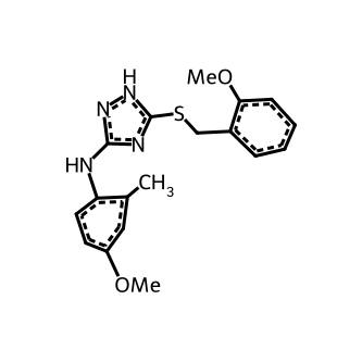 COc1ccc(Nc2n[nH]c(SCc3ccccc3OC)n2)c(C)c1